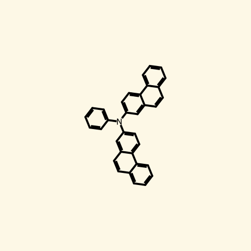 c1ccc(N(c2ccc3c(ccc4ccccc43)c2)c2ccc3c(ccc4ccccc43)c2)cc1